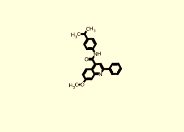 COc1ccc2c(C(=O)Nc3ccc(C(C)C)cc3)cc(-c3ccccc3)nc2c1